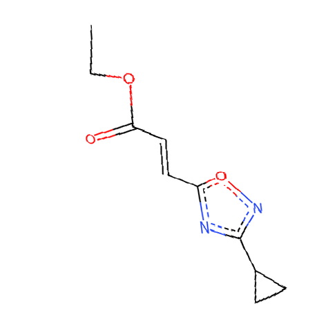 CCOC(=O)/C=C/c1nc(C2CC2)no1